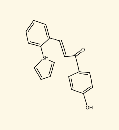 O=C(C=Cc1ccccc1[SH]1C=CC=C1)c1ccc(O)cc1